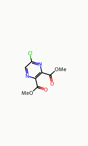 COC(=O)c1ncc(Cl)nc1C(=O)OC